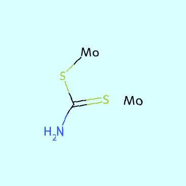 NC(=S)[S][Mo].[Mo]